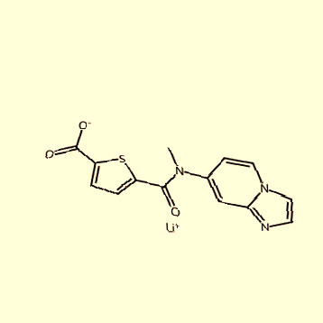 CN(C(=O)c1ccc(C(=O)[O-])s1)c1ccn2ccnc2c1.[Li+]